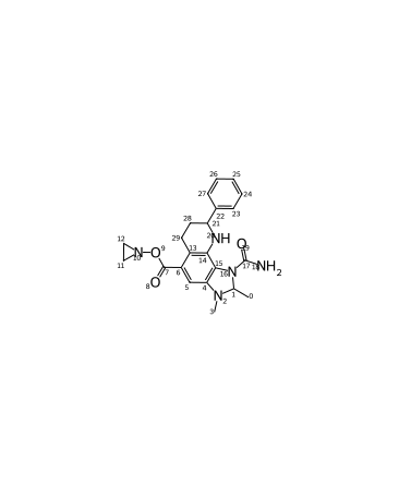 CC1N(C)c2cc(C(=O)ON3CC3)c3c(c2N1C(N)=O)NC(c1ccccc1)CC3